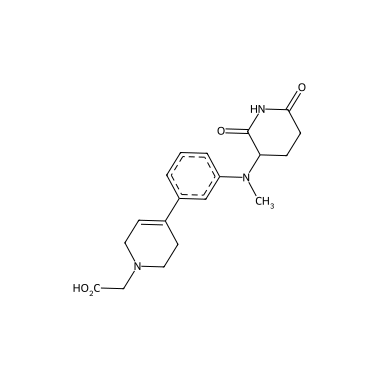 CN(c1cccc(C2=CCN(CC(=O)O)CC2)c1)C1CCC(=O)NC1=O